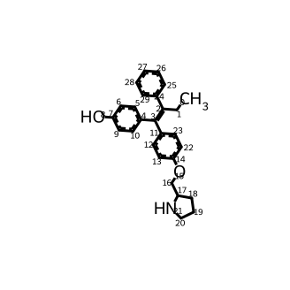 CCC(=C(c1ccc(O)cc1)c1ccc(OCC2CCCN2)cc1)c1ccccc1